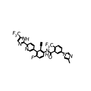 C#Cc1c(NC(=O)c2cc(-n3cnc(C)c3)ccc2C(F)(F)F)ccc(F)c1-c1ccc(-c2ncc(C(F)(F)F)[nH]2)nc1